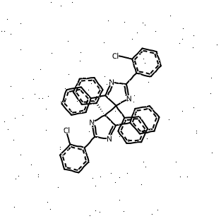 Clc1ccccc1C1=NC(c2ccccc2)([C@]2(c3ccccc3)N=C(c3ccccc3Cl)N=C2c2ccccc2)C(c2ccccc2)=N1